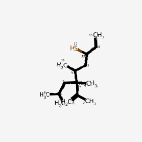 C=C(C)C(C)(CC(C)C)C(C)CC(S)CC